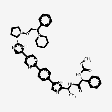 COC(=O)N[C@@H](C(=O)N[C@@H](C)c1ncc(-c2ccc(-c3ncc(-c4cnc([C@@H]5CCCN5OC[C@@H](c5ccccc5)N5CCCCC5)[nH]4)cn3)cc2)[nH]1)c1ccccc1